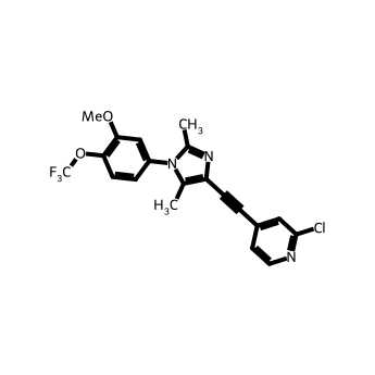 COc1cc(-n2c(C)nc(C#Cc3ccnc(Cl)c3)c2C)ccc1OC(F)(F)F